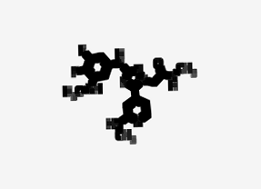 CNC(=O)Cn1nc(Nc2cc(F)c(F)c(NC)c2)nc1-c1ccnc(NC)c1